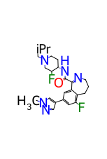 CC(C)CN1CC[C@H](NC(=O)C2=NCCCc3c(F)cc(-c4cnn(C)c4)cc32)[C@@H](F)C1